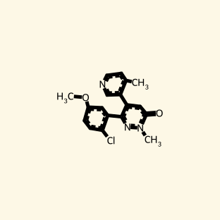 COc1ccc(Cl)c(-c2nn(C)c(=O)cc2-c2cnccc2C)c1